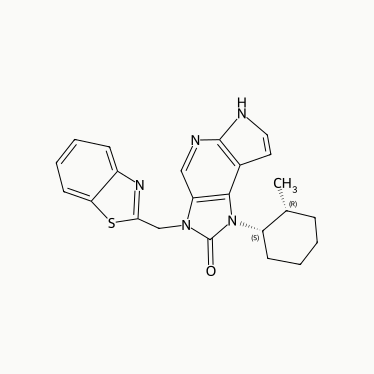 C[C@@H]1CCCC[C@@H]1n1c(=O)n(Cc2nc3ccccc3s2)c2cnc3[nH]ccc3c21